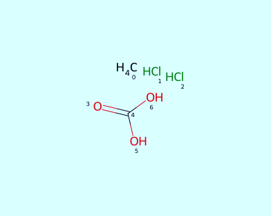 C.Cl.Cl.O=C(O)O